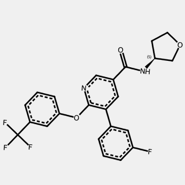 O=C(N[C@H]1CCOC1)c1cnc(Oc2cccc(C(F)(F)F)c2)c(-c2cccc(F)c2)c1